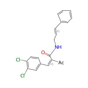 CC(=O)/C(=C/c1ccc(Cl)c(Cl)c1)C(=O)NC/C=C/c1ccccc1